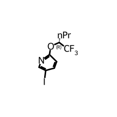 CCC[C@@H](Oc1ccc(I)cn1)C(F)(F)F